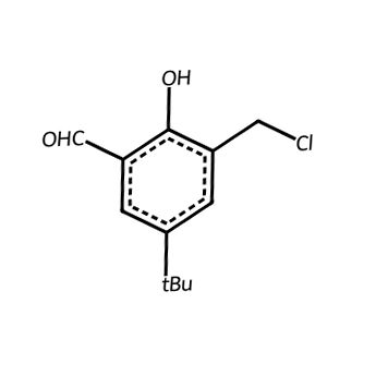 CC(C)(C)c1cc(C=O)c(O)c(CCl)c1